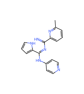 Cc1cccc(C(=N)/N=C(/Nc2ccncc2)c2ccc[nH]2)n1